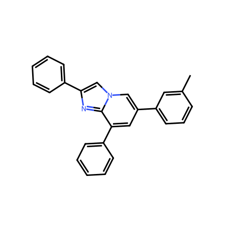 Cc1cccc(-c2cc(-c3ccccc3)c3nc(-c4ccccc4)cn3c2)c1